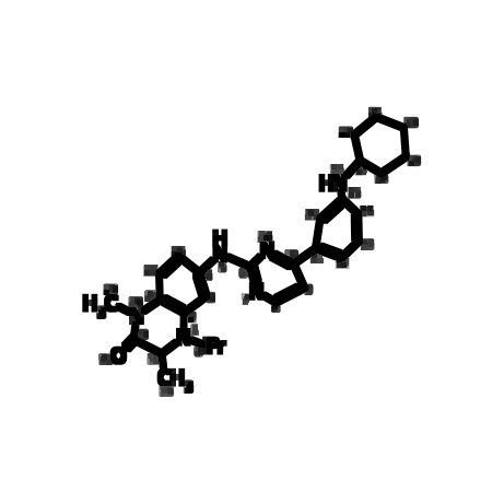 CC(C)N1c2cc(Nc3nccc(-c4cccc(NC5CCCCC5)c4)n3)ccc2N(C)C(=O)C1C